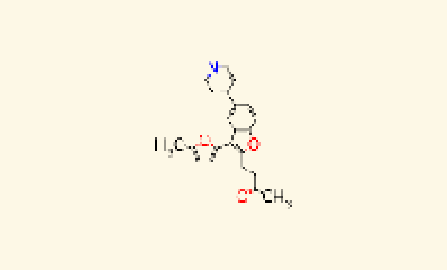 CC(=O)CCc1oc2ccc(-c3ccncc3)cc2c1-c1ccc(C)o1